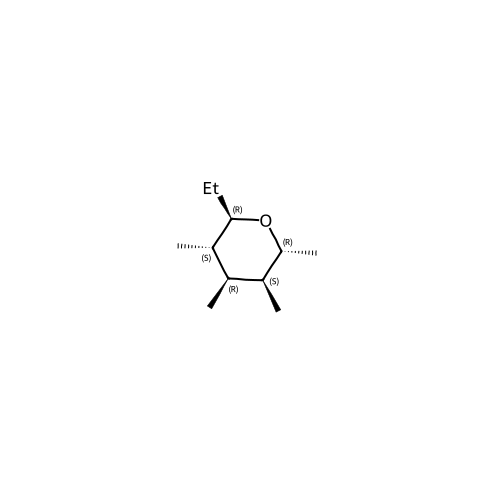 CC[C@H]1O[C@H](C)[C@@H](C)[C@@H](C)[C@@H]1C